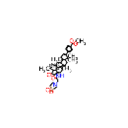 COC(=O)c1ccc(C2=CC[C@@]3(C)C(CC[C@]4(C)C3CCC3C5=C(C(C)C)C(=O)C[C@]5(NC(=O)CN5CCS(=O)(=O)CC5)CC[C@]34C)C2(C)C)cc1